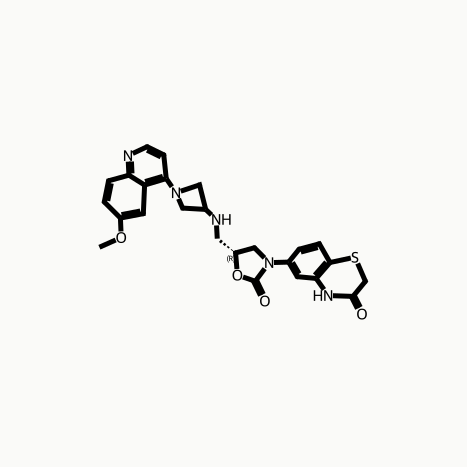 COc1ccc2nccc(N3CC(NC[C@@H]4CN(c5ccc6c(c5)NC(=O)CS6)C(=O)O4)C3)c2c1